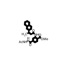 COC(=O)c1ccc(C(=O)NNC(C)=O)cc1NC(=O)/C=C(/C)c1ccc2ccccc2c1